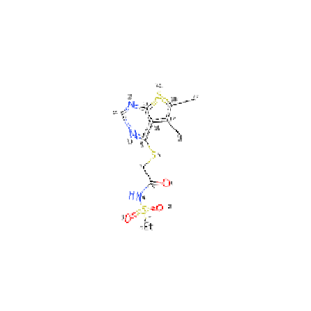 CCS(=O)(=O)NC(=O)CSc1ncnc2sc(C)c(C)c12